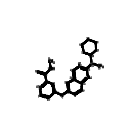 CNC(=O)c1cc(Oc2ccc3nc(N(C)C4CCCCC4)ncc3c2)ccn1